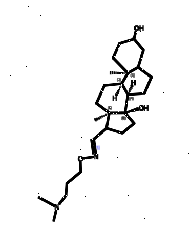 CN(C)CCCO/N=C/C1CC[C@@]2(O)[C@@H]3CCC4CC(O)CC[C@]4(C)[C@@H]3CC[C@]12C